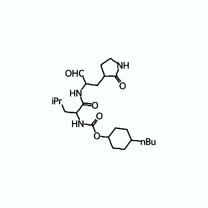 CCCCC1CCC(OC(=O)NC(CC(C)C)C(=O)NC(C=O)CC2CCNC2=O)CC1